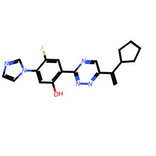 C=C(c1cnc(-c2cc(F)c(-n3ccnc3)cc2O)nn1)C1CCCC1